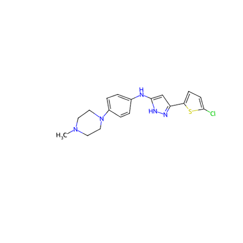 CN1CCN(c2ccc(Nc3cc(-c4ccc(Cl)s4)n[nH]3)cc2)CC1